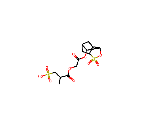 CC(CS(=O)(=O)O)C(=O)OCC(=O)OC1C2CC3C1OS(=O)(=O)C3C2